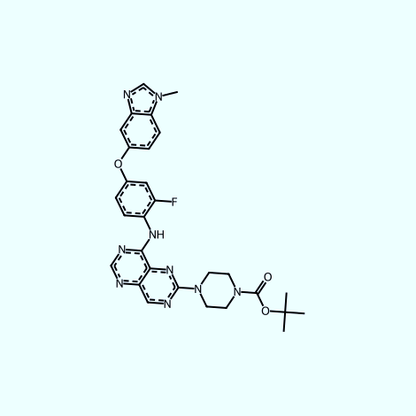 Cn1cnc2cc(Oc3ccc(Nc4ncnc5cnc(N6CCN(C(=O)OC(C)(C)C)CC6)nc45)c(F)c3)ccc21